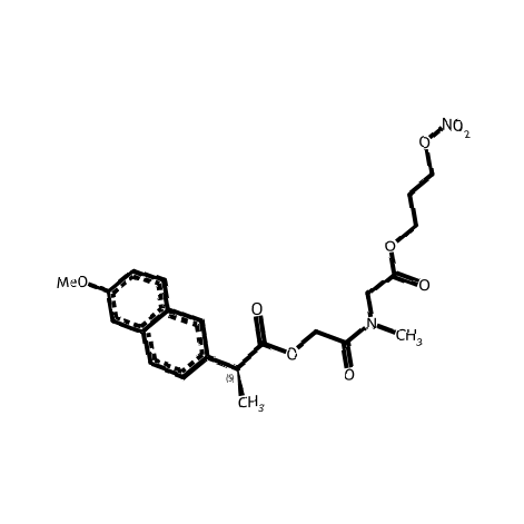 COc1ccc2cc([C@H](C)C(=O)OCC(=O)N(C)CC(=O)OCCCO[N+](=O)[O-])ccc2c1